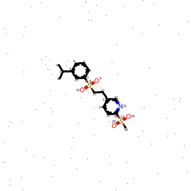 CC(C)c1cccc(S(=O)(=O)CCc2ccc(S(C)(=O)=O)nc2)c1